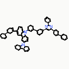 c1ccc(-c2ccc(-c3cc(-c4cccc(-c5cccc(-n6c7ccc(-c8cccc(-c9ccccc9)c8)cc7c7cc(-n8c9ccccc9c9ccccc98)ccc76)c5)c4)nc(-c4ccccc4)n3)cc2)cc1